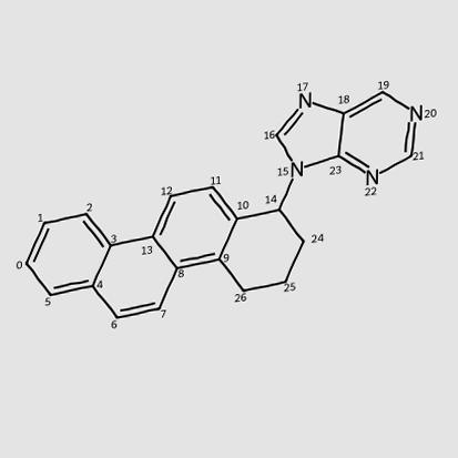 c1ccc2c(c1)ccc1c3c(ccc12)C(n1cnc2cncnc21)CCC3